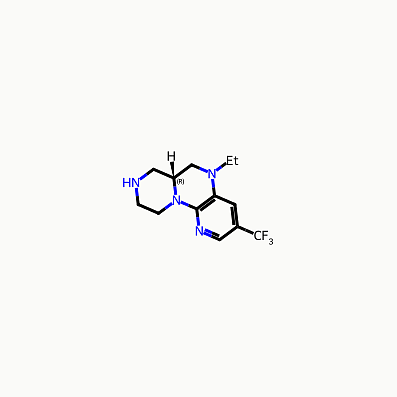 CCN1C[C@H]2CNCCN2c2ncc(C(F)(F)F)cc21